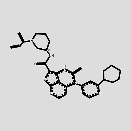 C=CC(=C)N1CCC[C@@H](NC(=O)c2sc3nccc4c3c2[nH]c(=C)n4-c2ccnc(C3CCCCC3)c2)C1